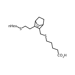 CCCCCCSCCC1C2CCC(O2)C1CSCCCCC(=O)O